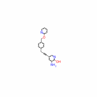 Nc1cc(C#CCc2ccc(COc3ccccn3)cc2)cnc1O